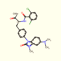 COC(=O)[C@H](Cc1ccc(-n2c(=O)n(C)c3cc(N(C)C)ccc32)cc1)NC(=O)c1c(F)cccc1Cl